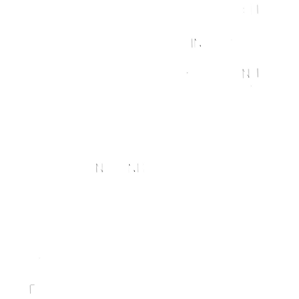 CC(=N)Nc1ccc2c(c1)C=CN(c1ccc(F)cc1)N2